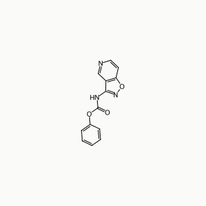 O=C(Nc1noc2ccncc12)Oc1ccccc1